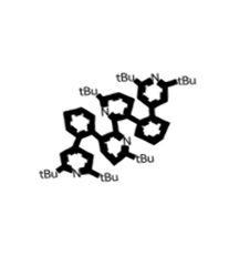 CC(C)(C)c1cc(-c2ccccc2-c2ccc(C(C)(C)C)nc2-c2nc(C(C)(C)C)ccc2-c2ccccc2-c2cc(C(C)(C)C)nc(C(C)(C)C)c2)cc(C(C)(C)C)n1